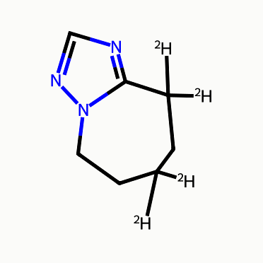 [2H]C1([2H])CCn2ncnc2C([2H])([2H])C1